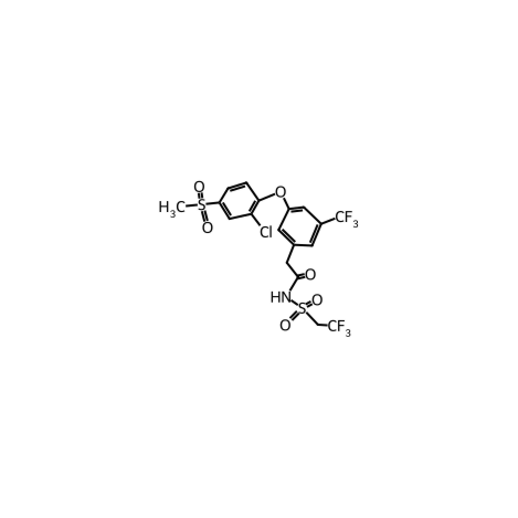 CS(=O)(=O)c1ccc(Oc2cc(CC(=O)NS(=O)(=O)CC(F)(F)F)cc(C(F)(F)F)c2)c(Cl)c1